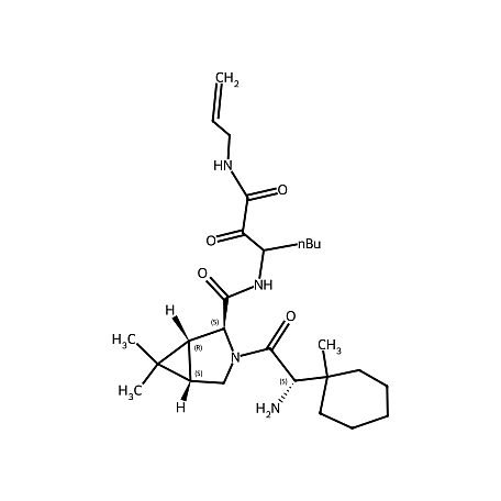 C=CCNC(=O)C(=O)C(CCCC)NC(=O)[C@@H]1[C@@H]2[C@H](CN1C(=O)[C@@H](N)C1(C)CCCCC1)C2(C)C